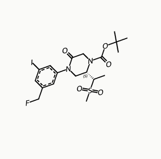 CC([C@@H]1CN(c2cc(I)cc(CF)c2)C(=O)CN1C(=O)OC(C)(C)C)S(C)(=O)=O